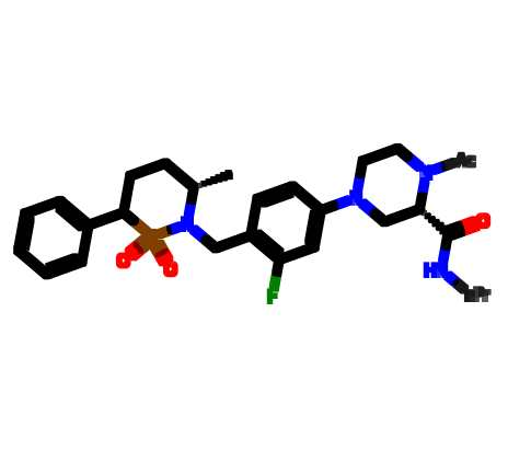 CCCNC(=O)[C@@H]1CN(c2ccc(CN3[C@@H](C)CCC(c4ccccc4)S3(=O)=O)c(F)c2)CCN1C(C)=O